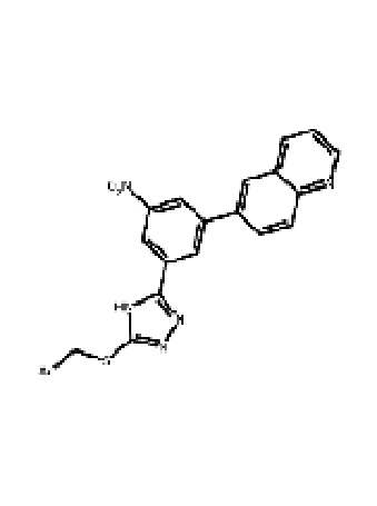 CC(=O)CSc1nnc(-c2cc(-c3ccc4ncccc4c3)cc([N+](=O)[O-])c2)[nH]1